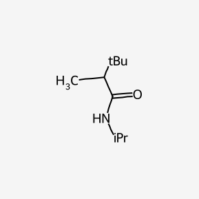 CC(C)NC(=O)C(C)C(C)(C)C